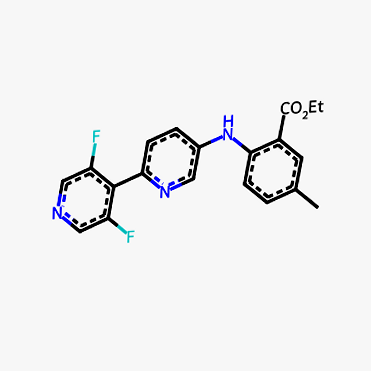 CCOC(=O)c1cc(C)ccc1Nc1ccc(-c2c(F)cncc2F)nc1